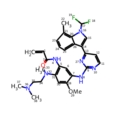 C=CC(=O)Nc1cc(Nc2nccc(-c3cn(C(F)F)c4c(C)cccc34)n2)c(OC)cc1N(C)CCN(C)C